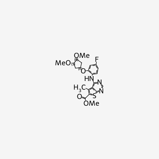 COC(=O)c1sc2ncnc(Nc3ccc(F)cc3O[C@@H]3C[C@H](OC)[C@H](OC)C3)c2c1C